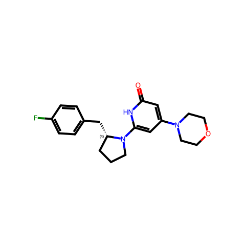 O=c1cc(N2CCOCC2)cc(N2CCC[C@@H]2Cc2ccc(F)cc2)[nH]1